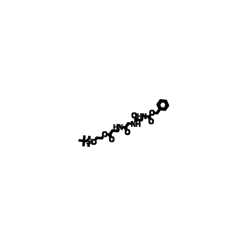 CC(C)(C)[Si](C)(C)OCCOC(=O)CCNC(=O)CNC(=O)CNC(=O)OCc1ccccc1